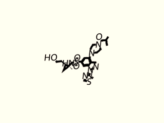 CC(C)C(=O)N1CCN(c2cc(S(=O)(=O)N[C@@]3(C)C[C@H]3CCO)cc3c2cnn3N2CSC=N2)CC1